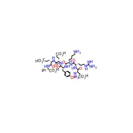 CC(C)[C@H](NC(=O)[C@H](CCC(=O)O)NC(=O)[C@H](CCC(=O)O)NC(=O)[C@H](Cc1ccc(O)cc1)NC(=O)[C@H](CCCCN)NC(=O)[C@H](CCCNC(=N)N)NC(=O)[C@@H](N)CC(=O)O)C(=O)O